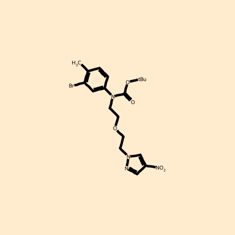 Cc1ccc(N(CCOCCn2cc([N+](=O)[O-])cn2)C(=O)OC(C)(C)C)cc1Br